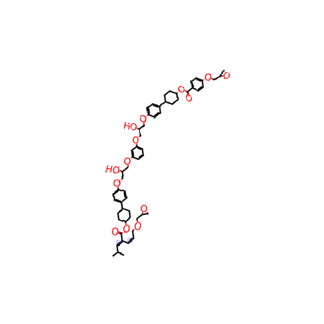 CC(C)/C=C(\C=C/COCC1CO1)C(=O)OC1CCC(c2ccc(OCC(O)COc3cccc(OCC(O)COc4ccc(C5CCC(OC(=O)c6ccc(OCC7CO7)cc6)CC5)cc4)c3)cc2)CC1